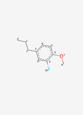 CCCc1ccc(OC)c(F)c1